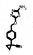 N#CC1(c2ccc(COc3nnc(N)s3)cc2)CC1